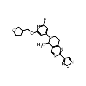 CC1c2cnc(-c3cnsn3)nc2CCN1c1cc(F)nc(OCC2CCOC2)c1